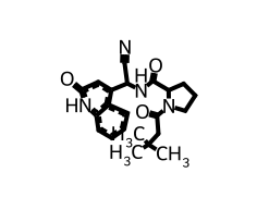 CC(C)(C)CC(=O)N1CCCC1C(=O)NC(C#N)c1cc(=O)[nH]c2ccccc12